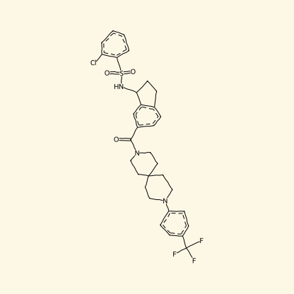 O=C(c1ccc2c(c1)C(NS(=O)(=O)c1ccccc1Cl)CC2)N1CCC2(CC1)CCN(c1ccc(C(F)(F)F)cc1)CC2